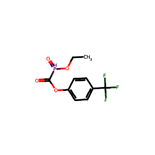 CCO[PH](=O)C(=O)Oc1ccc(C(F)(F)F)cc1